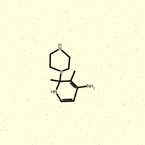 CC1=C(N)C=CNC1(C)N1CCNCC1